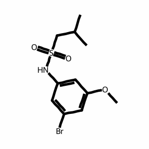 COc1cc(Br)cc(NS(=O)(=O)CC(C)C)c1